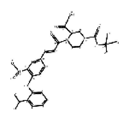 CC(C)c1ccccc1Sc1ccc(C=CC(=O)N2CCN(C(=O)OC(C)(C)C)CC2C(=O)O)cc1[N+](=O)[O-]